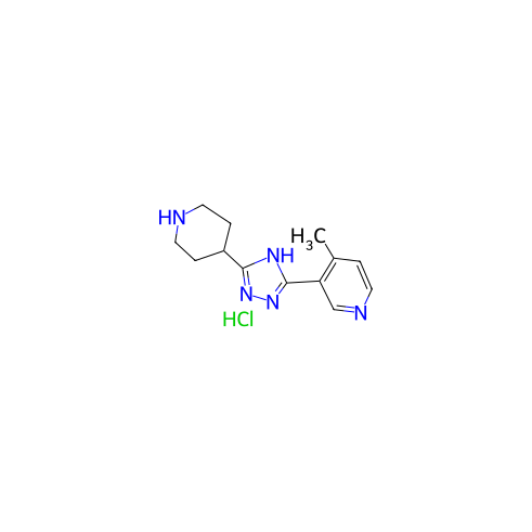 Cc1ccncc1-c1nnc(C2CCNCC2)[nH]1.Cl